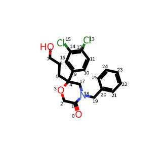 O=C1COC(CCCO)(c2ccc(Cl)c(Cl)c2)CN1Cc1ccccc1